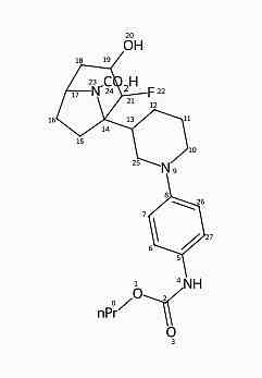 CCCOC(=O)Nc1ccc(N2CCCC(C34CCC(CC(O)C3F)N4C(=O)O)C2)cc1